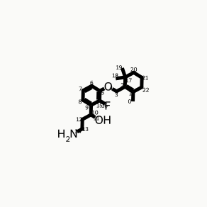 CC1=C(COc2cccc(C(O)CCN)c2F)C(C)(C)CCC1